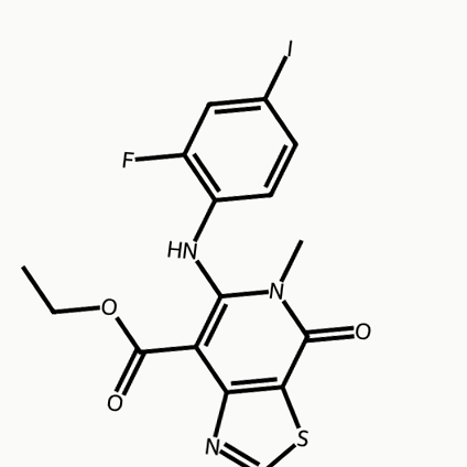 CCOC(=O)c1c(Nc2ccc(I)cc2F)n(C)c(=O)c2scnc12